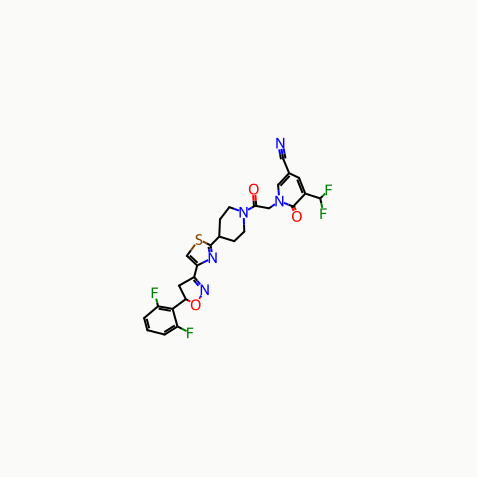 N#Cc1cc(C(F)F)c(=O)n(CC(=O)N2CCC(c3nc(C4=NOC(c5c(F)cccc5F)C4)cs3)CC2)c1